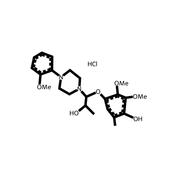 COc1ccccc1N1CCN(C(Oc2cc(C)c(O)c(OC)c2OC)C(C)O)CC1.Cl